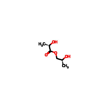 C[C@H](O)C(=O)OC[C@@H](C)O